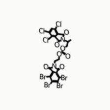 CC(COC(=O)OCCN1C(=O)c2c(Br)c(Br)c(Br)c(Br)c2C1=O)N1C(=O)c2c(Cl)cc(Cl)c(Cl)c2C1=O